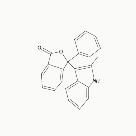 Cc1[nH]c2ccccc2c1C1(c2ccccc2)OC(=O)c2ccccc21